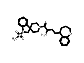 CS(=O)(=O)N1CC2(CCN(C(=O)C(N)CCC3CCCOc4ccccc43)CC2)c2ccccc21